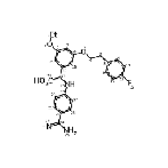 CCOc1cc(OCCc2ccc(F)cc2)cc(C(Nc2ccc(C(=N)N)cc2)C(=O)O)c1